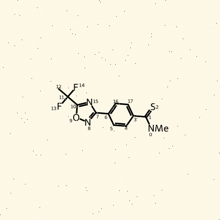 CNC(=S)c1ccc(-c2noc(C(C)(F)F)n2)cc1